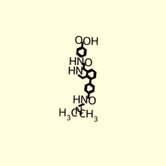 CN(C)CCNC(=O)c1ccc(-c2cccc3c2CCNC3C(=O)Nc2ccc(C(=O)O)cc2)cc1